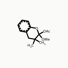 COC1(OC(C)=O)Oc2ccccc2CC1(C)C